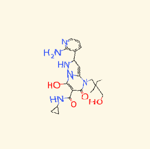 CC(C)(CO)CN1C(=O)C(C(=O)NC2CC2)=C(O)N2NC(c3cccnc3N)C=C12